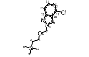 C[Si](C)(C)CCOCn1cc2c(Cl)nccc2n1